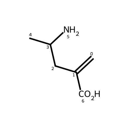 C=C(CC(C)N)C(=O)O